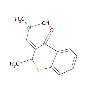 CC1Sc2ccccc2C(=O)C1=CN(C)C